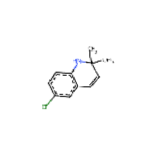 CC1(C)C=Cc2cc(Cl)ccc2N1